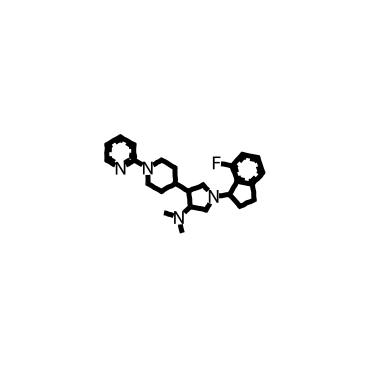 CN(C)C1CN(C2CCc3cccc(F)c32)CC1C1CCN(c2ccccn2)CC1